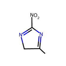 CC1=NC([N+](=O)[O-])=NC1